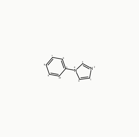 [c]1cncn1-c1ccccc1